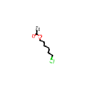 CCC(=O)OCCCCCCCl